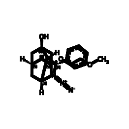 COCCO[C@@]12C[C@H]3C[C@@H](C1)[C@H]([C@@H](N=[N+]=[N-])c1ccccc1)[C@](O)(C3)C2